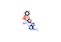 N.Nc1ncnc2c1ncn2[C@H]1C[C@H](OP(=O)(O)OC2CCCCC2)CO1